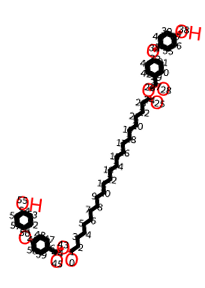 O=C(CCCCCCCCCCCCCCCCCCCCCCC(=O)OC(=O)c1ccc(Oc2ccc(O)cc2)cc1)OC(=O)c1ccc(Oc2ccc(O)cc2)cc1